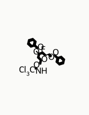 N=C(OCC1C[C@@H](OC(=O)c2ccccc2)[C@H](F)[C@@H](COC(=O)c2ccccc2)O1)C(Cl)(Cl)Cl